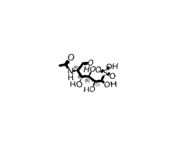 CC(=O)N[C@@H](C=O)[C@@H](O)[C@@H](O)[C@H](O)C(O)S(=O)(=O)O